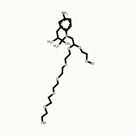 CCOCCOC(CN1c2ccc(N)cc2CC(C)C1(C)C)OCCOCCOCCOCCOCCO